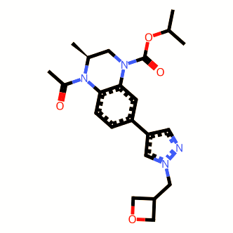 CC(=O)N1c2ccc(-c3cnn(CC4COC4)c3)cc2N(C(=O)OC(C)C)C[C@@H]1C